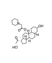 CC(=O)[C@H]1CC[C@H]2[C@@H]3CC[C@H]4C[C@H](O)CC[C@]4(C)[C@H]3[C@@H](OC(=O)CN3CCCCC3)C[C@]12C.Cl